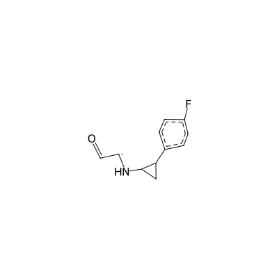 O=C[CH]NC1CC1c1ccc(F)cc1